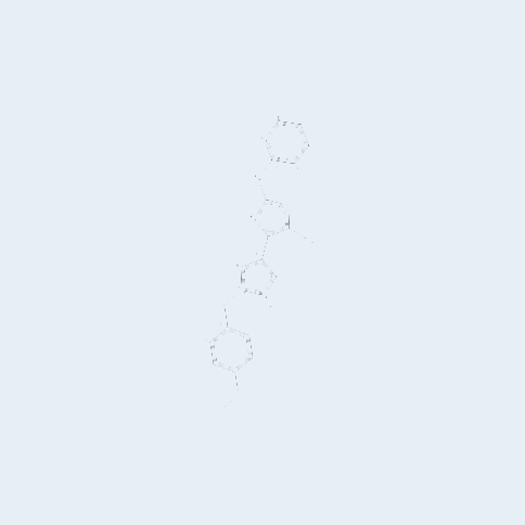 COc1ccc(Cn2cc(-c3nc(Nc4ccccn4)sc3Br)cn2)cc1